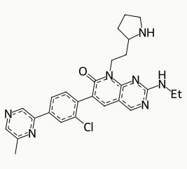 CCNc1ncc2cc(-c3ccc(-c4cncc(C)n4)cc3Cl)c(=O)n(CCC3CCCN3)c2n1